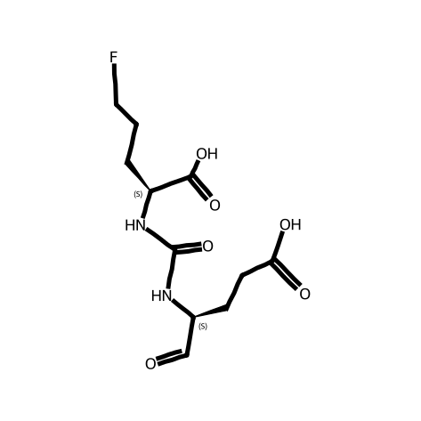 O=C[C@H](CCC(=O)O)NC(=O)N[C@@H](CCCF)C(=O)O